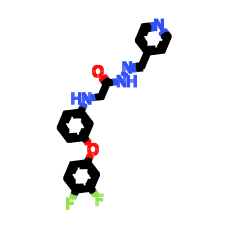 O=C(CNc1cccc(Oc2ccc(F)c(F)c2)c1)N/N=C/c1ccncc1